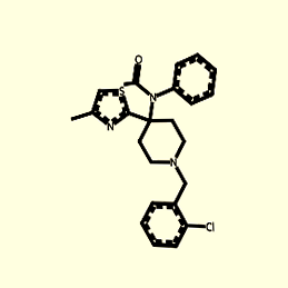 CC(=O)N(c1ccccc1)C1(c2nc(C)cs2)CCN(Cc2ccccc2Cl)CC1